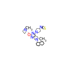 Cc1cccc2cccc(N3CCc4c(nc(OC[C@@H]5CCCN5C)nc4N4CCC(N=C=S)CC4)C3)c12